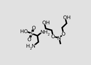 CN(OCCO)OCCO.NCC(N)S(=O)(=O)O